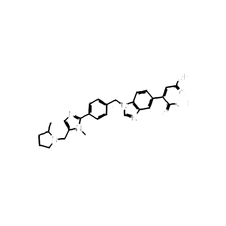 CC1CCCN1Cc1cnc(-c2ccc(Cn3cnc4cc(/C(=C/C(=O)O)C(=O)O)ccc43)cc2)n1C